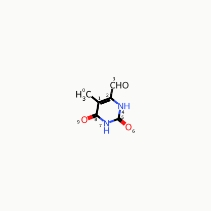 Cc1c(C=O)[nH]c(=O)[nH]c1=O